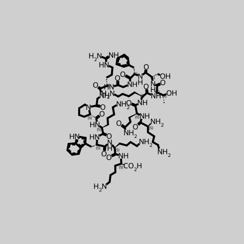 C[C@@H](O)[C@H](NC(=O)[C@H](CCCCN)NC(=O)[C@H](CCC(N)=O)NC(=O)[C@@H](N)CCCCN)C(=O)N[C@@H](CO)C(=O)N[C@@H](Cc1ccccc1)C(=O)NCC(=O)N[C@@H](CCCNC(=N)N)C(=O)NCC(=O)N1CCCC[C@H]1C(=O)N[C@@H](CCCCN)C(=O)N[C@@H](Cc1c[nH]c2ccccc12)C(=O)N[C@@H](CCCCN)C(=O)N[C@@H](CCCCN)C(=O)O